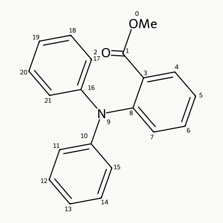 COC(=O)c1ccccc1N(c1ccccc1)c1ccccc1